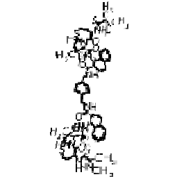 CN[C@@H](C)C(=S)N[C@H]1CCS[C@H]2CC(C)(C)[C@@H](C(=O)N[C@@H]3c4ccccc4CC[C@H]3C(=O)NCc3ccc(CNC(=O)[C@@H]4CCc5ccccc5[C@@H]4NC(=O)[C@H]4N5C(=O)[C@H](NC(=S)[C@H](C)NC)CCS[C@H]5CC4(C)C)cc3)N2C1=O